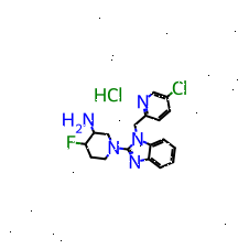 Cl.NC1CN(c2nc3ccccc3n2Cc2ccc(Cl)cn2)CCC1F